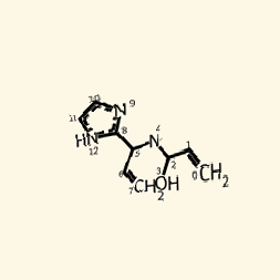 C=CC(O)[N]C(C=C)c1ncc[nH]1